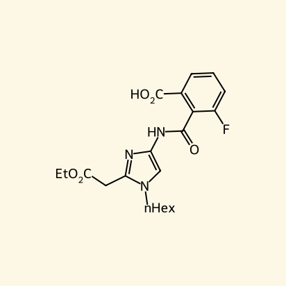 CCCCCCn1cc(NC(=O)c2c(F)cccc2C(=O)O)nc1CC(=O)OCC